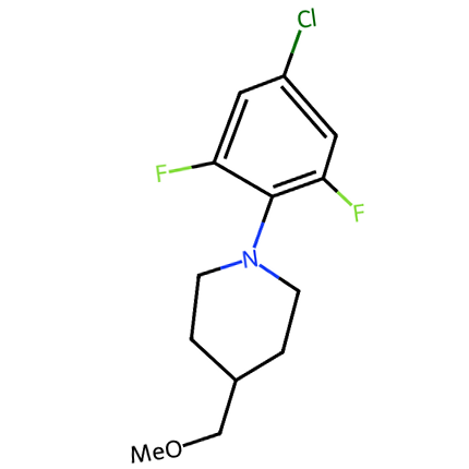 COCC1CCN(c2c(F)cc(Cl)cc2F)CC1